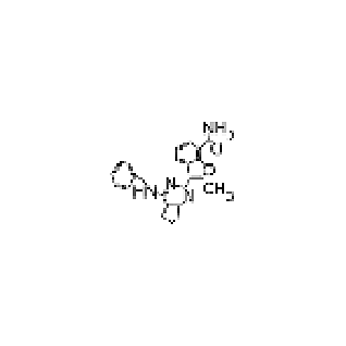 Cc1oc2c(C(N)=O)cccc2c1-c1nc2c(c(NCc3ccccc3)n1)CCC2